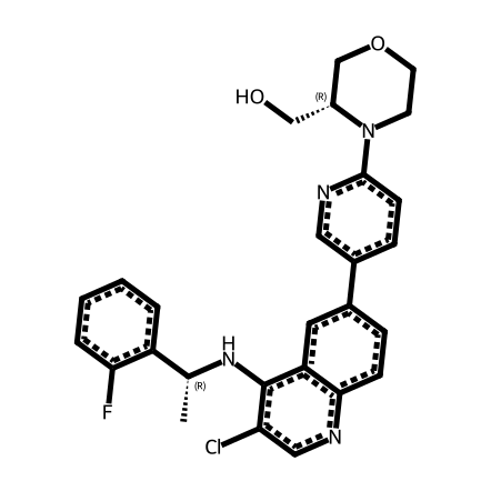 C[C@@H](Nc1c(Cl)cnc2ccc(-c3ccc(N4CCOC[C@H]4CO)nc3)cc12)c1ccccc1F